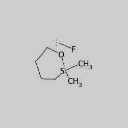 C[Si]1(C)CCCCO1.[C]F